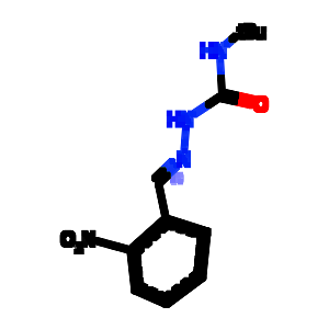 CC(C)(C)NC(=O)N/N=C/c1ccccc1[N+](=O)[O-]